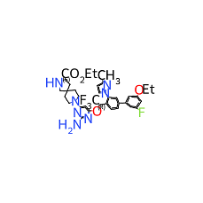 CCOC(=O)[C@@H]1CC2(CCN(c3cc(O[C@H](c4ccc(-c5cc(F)cc(OCC)c5)cc4-n4ccc(C)n4)C(F)(F)F)nc(N)n3)CC2)CN1